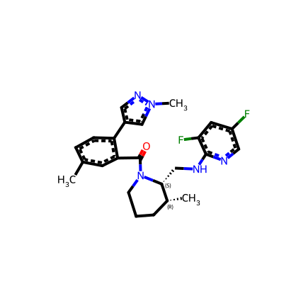 Cc1ccc(-c2cnn(C)c2)c(C(=O)N2CCC[C@@H](C)[C@H]2CNc2ncc(F)cc2F)c1